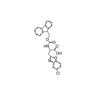 O=C(NC(Cc1nc2cc(Cl)ccc2o1)C(=O)O)OCC1c2ccccc2-c2ccccc21